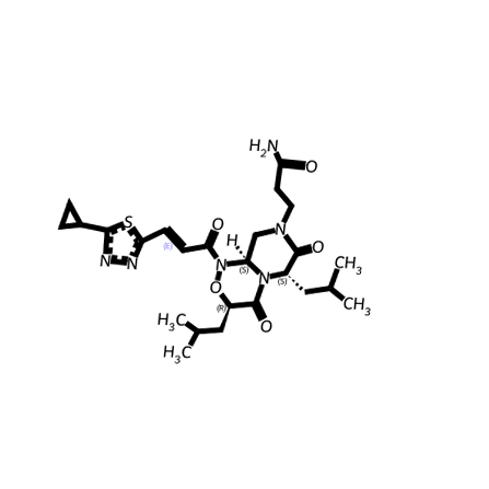 CC(C)C[C@H]1ON(C(=O)/C=C/c2nnc(C3CC3)s2)[C@H]2CN(CCC(N)=O)C(=O)[C@H](CC(C)C)N2C1=O